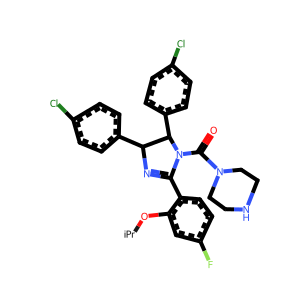 CC(C)Oc1cc(F)ccc1C1=NC(c2ccc(Cl)cc2)C(c2ccc(Cl)cc2)N1C(=O)N1CCNCC1